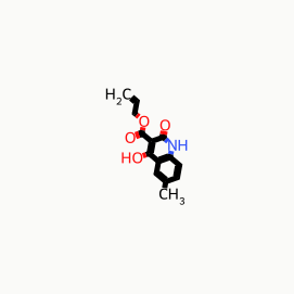 C=CCOC(=O)c1c(O)c2cc(C)ccc2[nH]c1=O